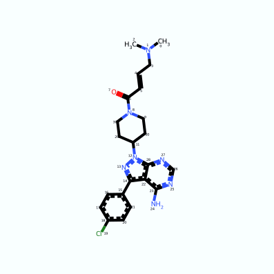 CN(C)C/C=C/C(=O)N1CCC(n2nc(-c3ccc(Cl)cc3)c3c(N)ncnc32)CC1